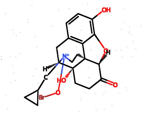 O=C1CC[C@@]2(O)[C@H]3Cc4ccc(O)c5c4[C@@]2(CC[N+]3(CC2CC2)OBr)[C@H]1O5